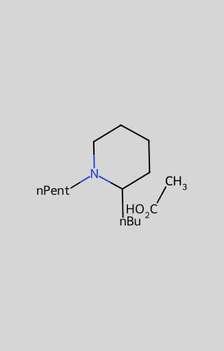 CC(=O)O.CCCCCN1CCCCC1CCCC